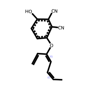 C=C/C(=C\C=C/C)Oc1ccc(O)c(C#N)c1C#N